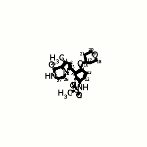 Cc1cc(-c2cc(NS(C)(=O)=O)ccc2OC2CCOCC2)n2c1C(=O)NCC2